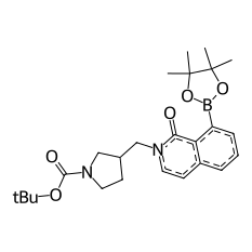 CC(C)(C)OC(=O)N1CCC(Cn2ccc3cccc(B4OC(C)(C)C(C)(C)O4)c3c2=O)C1